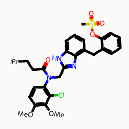 COc1ccc(N(Cc2nc3c(Cc4ccccc4OS(C)(=O)=O)cccc3[nH]2)C(=O)CCC(C)C)c(Cl)c1OC